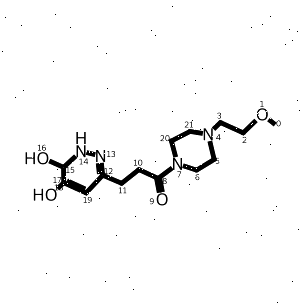 COCCN1CCN(C(=O)CCC2=NNC(O)C(O)=C2)CC1